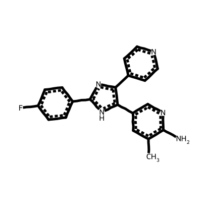 Cc1cc(-c2[nH]c(-c3ccc(F)cc3)nc2-c2ccncc2)cnc1N